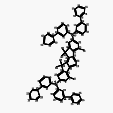 Cc1cc(N(c2cccc(-c3ccccc3)c2)c2cccc(-c3ccccc3)c2)cc2c1-c1ccc3c(c1C2(C)C)C(C)(C)c1cc(N(c2cccc(-c4ccccc4)c2)c2cccc(-c4ccccc4)c2)cc(C)c1-3